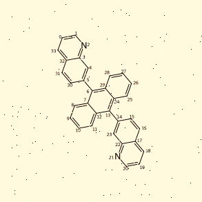 c1cnc2cc(-c3c4ccccc4c(-c4ccc5cccnc5c4)c4ccccc34)ccc2c1